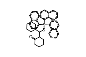 O=C1CCCCC1C(SS(c1cccc2ccccc12)(c1cccc2ccccc12)c1cccc2ccccc12)C1CCCCC1